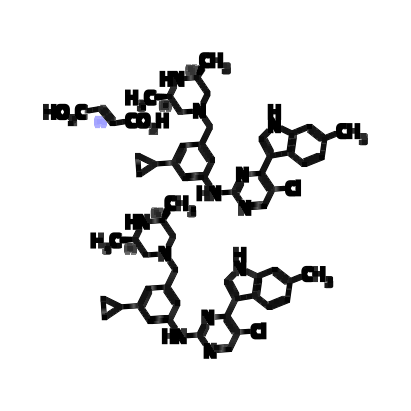 Cc1ccc2c(-c3nc(Nc4cc(CN5C[C@@H](C)N[C@@H](C)C5)cc(C5CC5)c4)ncc3Cl)c[nH]c2c1.Cc1ccc2c(-c3nc(Nc4cc(CN5C[C@@H](C)N[C@@H](C)C5)cc(C5CC5)c4)ncc3Cl)c[nH]c2c1.O=C(O)/C=C/C(=O)O